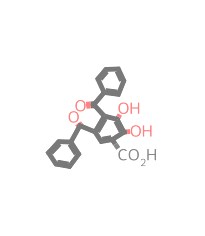 O=C(O)c1cc(C(=O)c2ccccc2)c(C(=O)c2ccccc2)c(O)c1O